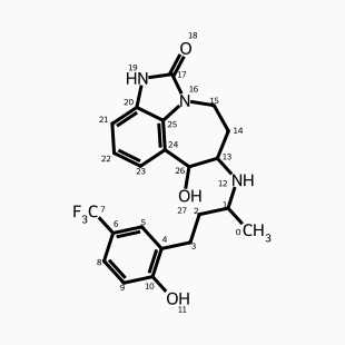 CC(CCc1cc(C(F)(F)F)ccc1O)NC1CCn2c(=O)[nH]c3cccc(c32)C1O